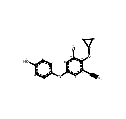 N#Cc1cc(Oc2ccc(O)cc2)cc(Cl)c1OC1CC1